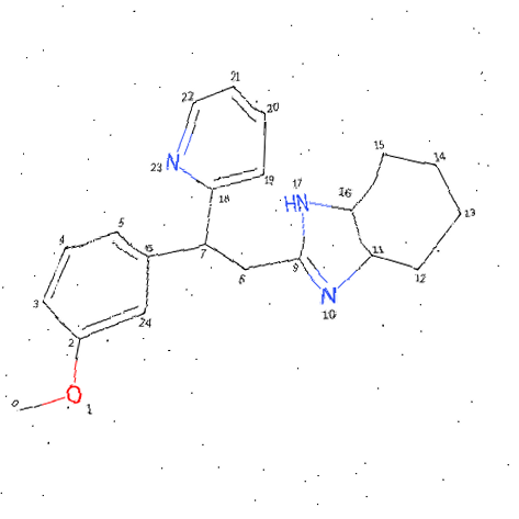 COc1cccc(C(CC2=NC3CCCCC3N2)c2ccccn2)c1